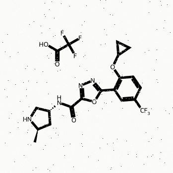 C[C@@H]1C[C@@H](NC(=O)c2nnc(-c3cc(C(F)(F)F)ccc3OC3CC3)o2)CN1.O=C(O)C(F)(F)F